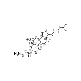 CC(C)CCCCC1CCC2C3CC(O)[C@H]4CC(NCCN)CCC4(C)C3CCC12C